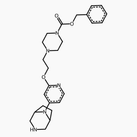 O=C(OCc1ccccc1)N1CCN(CCOc2cc(N3C4CCC3CNC4)ccn2)CC1